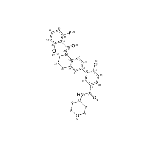 O=C(NC1CCOCC1)c1ccc(Cl)c(-c2ccc3c(c2)CCCN3C(=O)c2c(F)cccc2Cl)c1